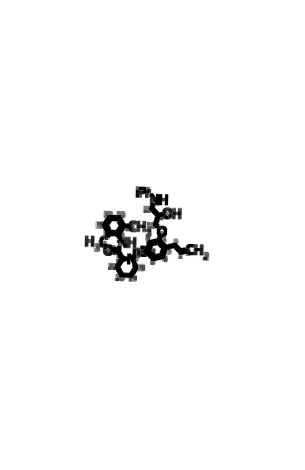 C=CCc1ccccc1OCC(O)CNC(C)C.CCCCN1CCCCC1C(=O)Nc1c(C)cccc1C